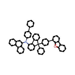 c1ccc(-c2ccc(N(c3cccc4c3-c3ccccc3C4(c3ccccc3)c3ccc(-c4cccc5c4oc4ccccc45)cc3)c3cc4ccccc4c4ccccc34)cc2)cc1